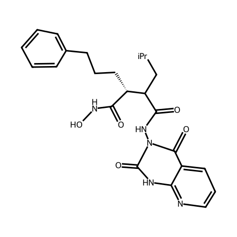 CC(C)CC(C(=O)Nn1c(=O)[nH]c2ncccc2c1=O)[C@@H](CCCc1ccccc1)C(=O)NO